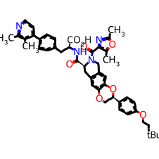 Cc1nc(C(=O)N2Cc3cc4c(cc3C[C@H]2C(=O)N[C@@H](Cc2ccc(-c3ccnc(C)c3C)cc2)C(=O)O)OC[C@H](c2ccc(OCCC(C)(C)C)cc2)O4)c(C)o1